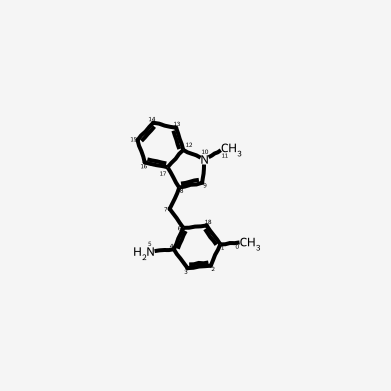 Cc1ccc(N)c(Cc2cn(C)c3ccccc23)c1